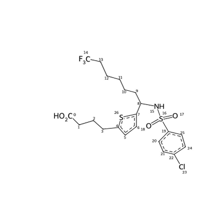 O=C(O)CCCc1ccc(C(CCCCCC(F)(F)F)NS(=O)(=O)c2ccc(Cl)cc2)s1